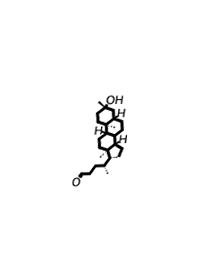 C[C@H](CCC=O)[C@H]1CC[C@H]2C3CC[C@H]4C[C@@](C)(O)CC[C@]4(C)[C@H]3CC[C@]12C